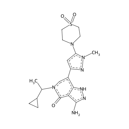 CC(C1CC1)n1cc(-c2cc(N3CCS(=O)(=O)CC3)n(C)n2)c2[nH]nc(N)c2c1=O